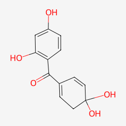 O=C(C1=CCC(O)(O)C=C1)c1ccc(O)cc1O